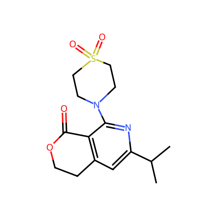 CC(C)c1cc2c(c(N3CCS(=O)(=O)CC3)n1)C(=O)OCC2